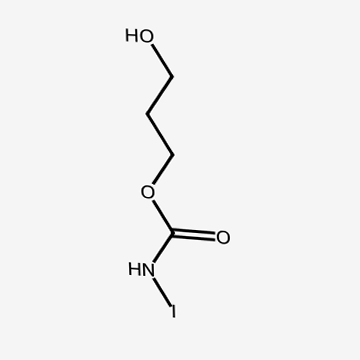 O=C(NI)OCCCO